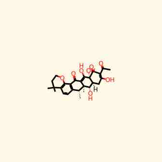 CC(=O)C1=C(O)C[C@H]2[C@H](O)[C@]3(C)C(=C(O)[C@@]2(O)C1=O)C(=O)c1c(ccc2c1OCCC2(C)C)[C@H]3C